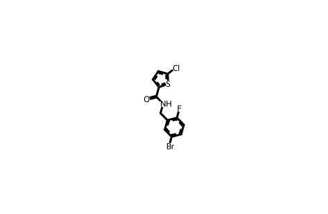 O=C(NCc1cc(Br)ccc1F)c1ccc(Cl)s1